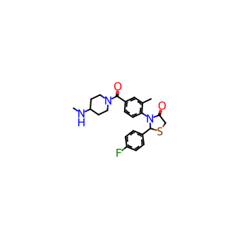 CNC1CCN(C(=O)c2ccc(N3C(=O)CSC3c3ccc(F)cc3)c(C)c2)CC1